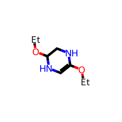 CCOC1=CNC(OCC)CN1